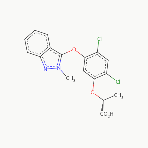 C[C@H](Oc1cc(Oc2c3ccccc3nn2C)c(Cl)cc1Cl)C(=O)O